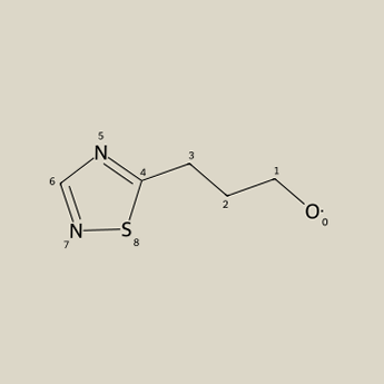 [O]CCCc1ncns1